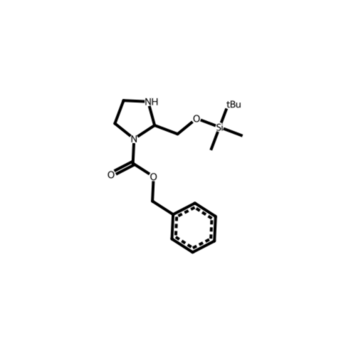 CC(C)(C)[Si](C)(C)OCC1NCCN1C(=O)OCc1ccccc1